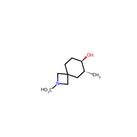 C[C@@H]1CC2(CC[C@H]1O)CN(C(=O)O)C2